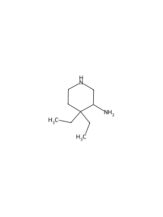 CCC1(CC)CCNCC1N